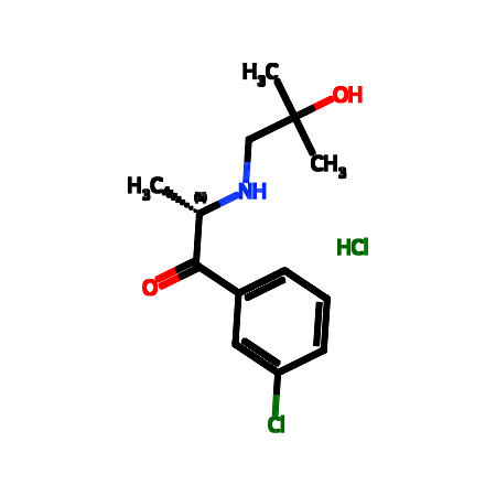 C[C@H](NCC(C)(C)O)C(=O)c1cccc(Cl)c1.Cl